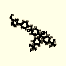 CCn1nnc(-c2ccc(C[N+]3([O-])CCC(C(O)(c4ccc(C(F)(F)F)cc4)c4ccc(C(F)(F)F)cc4)CC3)cc2)n1